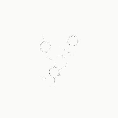 COc1cc2c(cc1OC)C(Oc1ccc(C)cc1)CN(S(=O)(=O)c1ccc(C)cc1)CC2